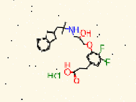 CC(C)(CC1Cc2ccccc2C1)NCC(O)COc1cc(CCC(=O)O)cc(F)c1F.Cl